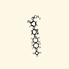 COc1ccc(-c2ccc(N3CCC4(CC3)CCN(C3CCC3)CC4)nn2)cc1F